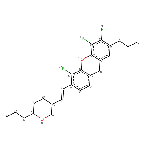 CCCc1cc2c(c(F)c1F)Oc1c(ccc(/C=C/C3CCC(CCC)OC3)c1F)C2